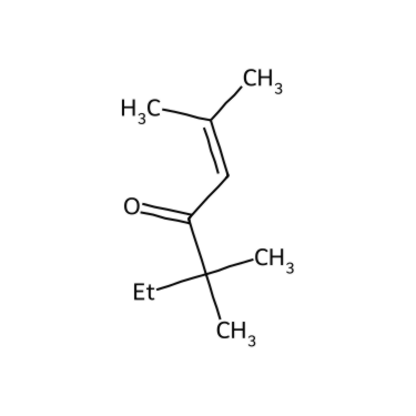 CCC(C)(C)C(=O)C=C(C)C